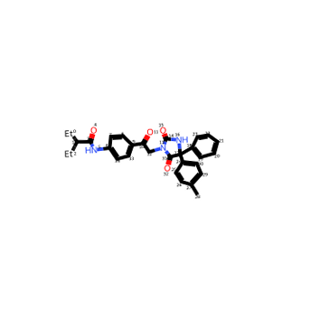 CCC(CC)C(=O)Nc1ccc(C(=O)CN2C(=O)NC(c3ccccc3)(c3ccc(C)cc3)C2=O)cc1